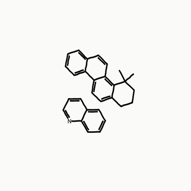 CC1(C)CCCc2ccc3c(ccc4ccccc43)c21.c1ccc2ncccc2c1